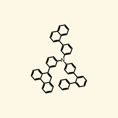 c1ccc(-c2ccccc2-c2ccc(N(c3cccc(-c4cccc5ccccc45)c3)c3cccc(-c4cc5ccccc5c5ccccc45)c3)cc2)cc1